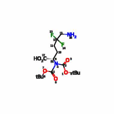 CC(C)(C)OC(=O)N(C(=O)OC(C)(C)C)[C@@H](CCC(F)(F)CN)C(=O)O